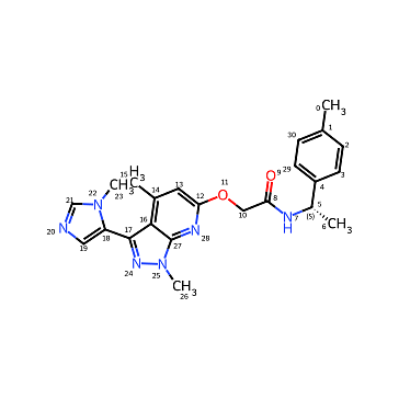 Cc1ccc([C@H](C)NC(=O)COc2cc(C)c3c(-c4cncn4C)nn(C)c3n2)cc1